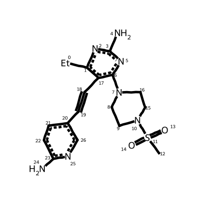 CCc1nc(N)nc(N2CCN(S(C)(=O)=O)CC2)c1C#Cc1ccc(N)nc1